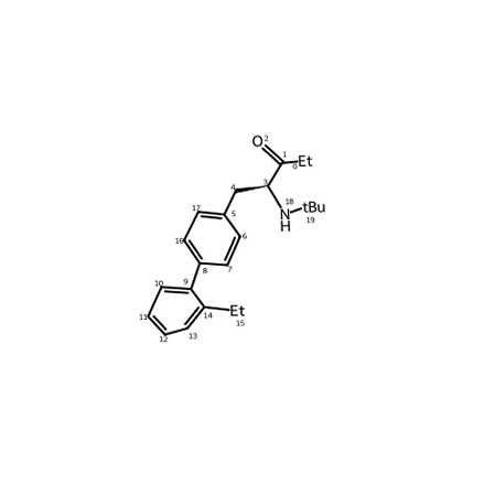 CCC(=O)[C@H](Cc1ccc(-c2ccccc2CC)cc1)NC(C)(C)C